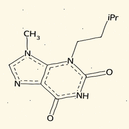 CC(C)CCn1c(=O)[nH]c(=O)c2ncn(C)c21